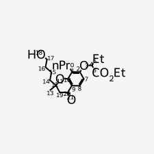 CCCc1c(OC(CC)C(=O)OCC)ccc2c1OC(C)(CCCCO)CC2=O